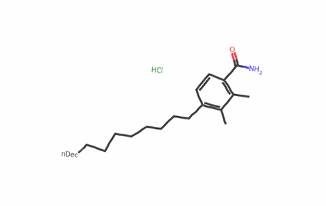 CCCCCCCCCCCCCCCCCCc1ccc(C(N)=O)c(C)c1C.Cl